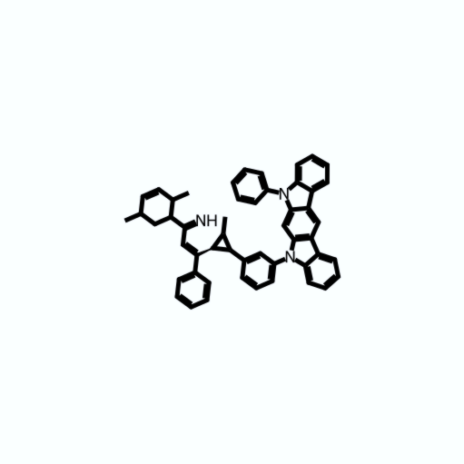 CC1C=CC(C)C(C(=N)/C=C(/c2ccccc2)[C@H]2C(C)C2c2cccc(-n3c4ccccc4c4cc5c6ccccc6n(-c6ccccc6)c5cc43)c2)C1